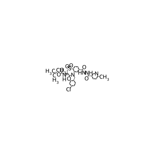 Cc1ccc(C(=O)NNC(=O)c2ccc3c(c2)N(Cc2ccc(Cl)cc2)C(=O)[C@@H](NC(=O)OC(C)(C)C)CS3(=O)=O)cn1